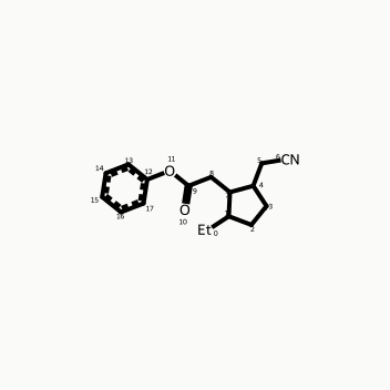 [CH2]CC1C[CH]C(CC#N)C1CC(=O)Oc1ccccc1